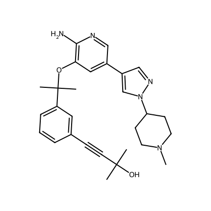 CN1CCC(n2cc(-c3cnc(N)c(OC(C)(C)c4cccc(C#CC(C)(C)O)c4)c3)cn2)CC1